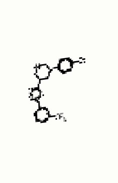 CCc1ccc(C2C[N]CC(c3nc(-c4cccc(C(F)(F)F)c4)no3)C2)cc1